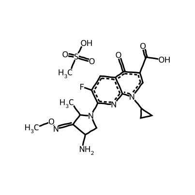 CON=C1C(N)CN(c2nc3c(cc2F)c(=O)c(C(=O)O)cn3C2CC2)C1C.CS(=O)(=O)O